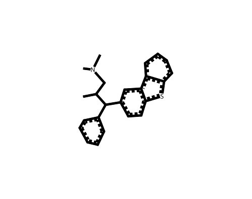 CC(CN(C)C)C(c1ccccc1)c1ccc2sc3ccccc3c2c1